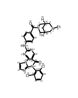 CCN1C[C@H]2C[C@@H](C1)CN(C(=O)c1ccc(Nc3ncc4c(=O)n(-c5c(Cl)cccc5Cl)c5nccn5c4n3)cc1)C2